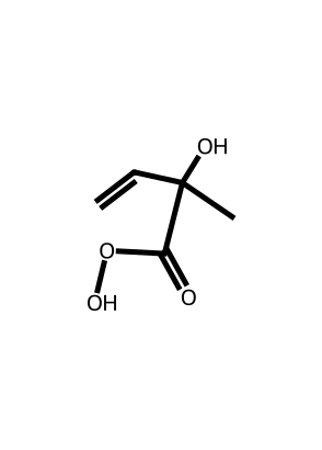 C=CC(C)(O)C(=O)OO